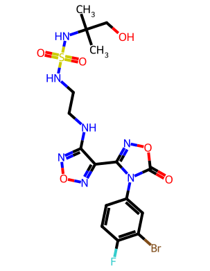 CC(C)(CO)NS(=O)(=O)NCCNc1nonc1-c1noc(=O)n1-c1ccc(F)c(Br)c1